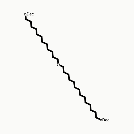 CCCCCCCCCCCCCCCCCCCCCCCCOCCCCCCCCCCCCCCCCCCCCCC